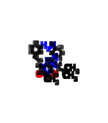 CC(C)=CCn1c(N2CCCC(N)C2)nc2c1c(=O)n(C)c(=O)n2CCCc1ccccc1